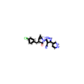 N#Cc1c(-c2ccnnc2)n[nH]c1N1C(=O)C(Cc2ccc(Cl)cc2)C2CC21